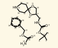 CC(C)(C)OC(=O)NCC1COC2(CCNCC2)O1.NC(=O)OCc1ccccc1